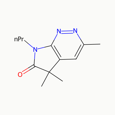 CCCN1C(=O)C(C)(C)c2cc(C)nnc21